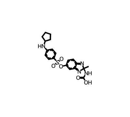 CC1(NC(=O)O)N=c2ccc(OS(=O)(=O)c3ccc(NC4CCCC4)cc3)cc2=N1